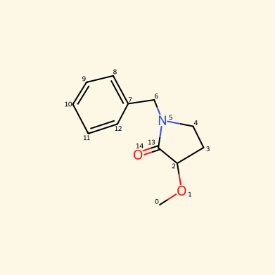 COC1CCN(Cc2ccccc2)C1=O